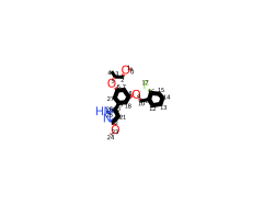 COCC(C)Oc1cc(OCc2ccccc2F)cc(-c2cc(OC)n[nH]2)c1